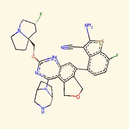 N#Cc1c(N)sc2c(F)ccc(-c3cc4nc(OC[C@@]56CCCN5C[C@H](F)C6)nc(N5C6CCC5CNC6)c4c4c3COC4)c12